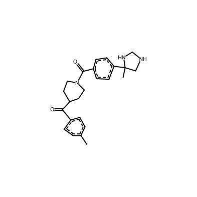 Cc1ccc(C(=O)C2CCN(C(=O)c3ccc(C4(C)CNCN4)cc3)CC2)cc1